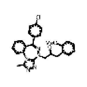 COc1ccccc1CC(=O)CN1N=C(c2ccc(Cl)cc2)c2ccccc2-n2c(C)nnc21